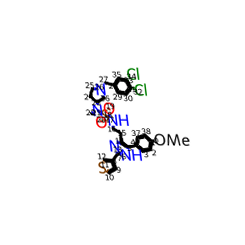 COc1ccc(-c2[nH]c(-c3ccsc3)nc2CCNS(=O)(=O)N(C)C2CCN(Cc3ccc(Cl)c(Cl)c3)C2)cc1